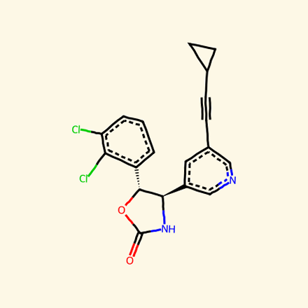 O=C1N[C@H](c2cncc(C#CC3CC3)c2)[C@@H](c2cccc(Cl)c2Cl)O1